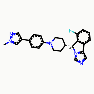 Cn1cc(-c2ccc(N3CCC([C@@H]4c5c(F)cccc5-c5cncn54)CC3)cc2)cn1